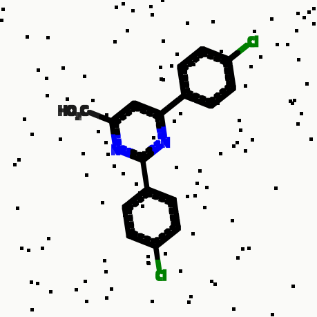 O=C(O)c1cc(-c2ccc(Cl)cc2)nc(-c2ccc(Cl)cc2)n1